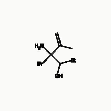 C=C(C)C(N)(C(C)C)C(O)CC